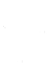 Cc1cc(C)c2c(Cl)ccnc2c1